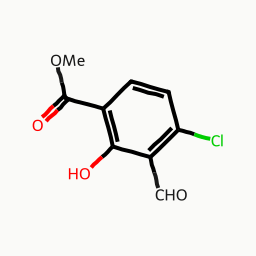 COC(=O)c1ccc(Cl)c(C=O)c1O